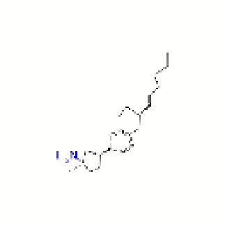 [CH2][C@@]1(N)CC[C@H](c2ccc3c(c2)CC[C@@H](/C=C/CCCC)C3)C1